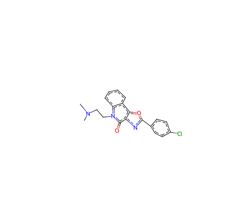 CN(C)CCn1c(=O)c2nc(-c3ccc(Cl)cc3)oc2c2ccccc21